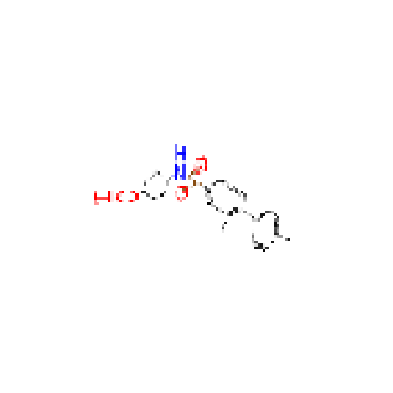 Cc1ccc(-c2ccc(S(=O)(=O)NC3CCC(O)CC3)cc2C)cc1